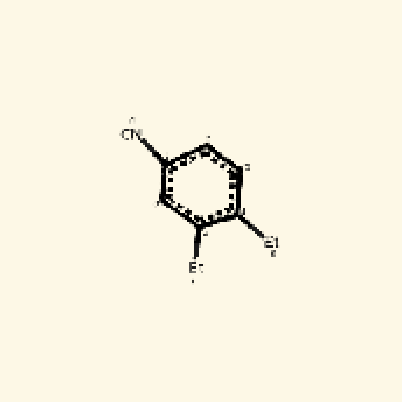 [C-]#[N+]c1ccc(CC)c(CC)c1